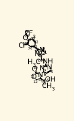 C[C@H](Nc1nccc(N2C(=O)OC[C@@H]2[C@@H](C)O)n1)c1nc(-c2ccc(OC(F)(F)F)c(Cl)c2)no1